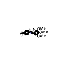 COc1cc(/C=C/c2ccc(C(C)(F)F)cc2)c(N)c(OC)c1OC